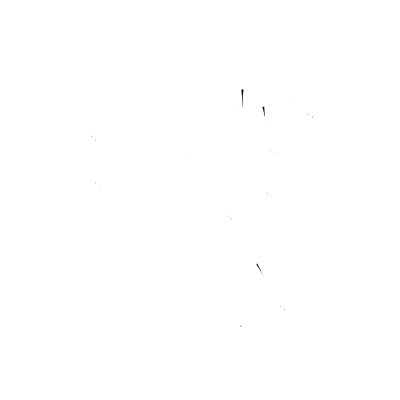 CC[C@@H]1NCCN2c3nc(OC[C@@]45CCCN4C[C@H](F)C5)nc4c(F)c(-c5cc(N)nc(C)c5CC(F)F)nc(c34)O[C@@H](C)[C@H]12